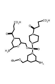 BC1CC(COC(C)(C)C)CN(P(=O)(OCC2CN(C(=O)CCC(=O)O)CC(B)O2)N2CCN(C(=O)CCC(=O)O)CC2)C1